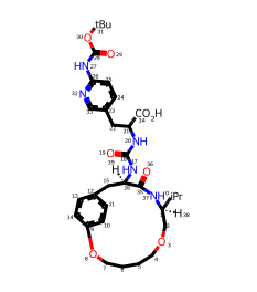 CC(C)[C@H]1COCCCCOc2ccc(cc2)C[C@@H](NC(=O)NC(Cc2ccc(NC(=O)OC(C)(C)C)nc2)C(=O)O)C(=O)N1